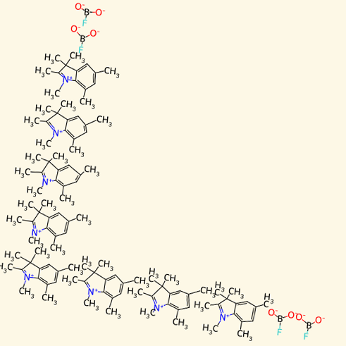 CC1=[N+](C)c2c(C)cc(C)cc2C1(C)C.CC1=[N+](C)c2c(C)cc(C)cc2C1(C)C.CC1=[N+](C)c2c(C)cc(C)cc2C1(C)C.CC1=[N+](C)c2c(C)cc(C)cc2C1(C)C.CC1=[N+](C)c2c(C)cc(C)cc2C1(C)C.CC1=[N+](C)c2c(C)cc(C)cc2C1(C)C.CC1=[N+](C)c2c(C)cc(C)cc2C1(C)C.CC1=[N+](C)c2c(C)cc(C)cc2C1(C)C.[O-]B([O-])F.[O-]B([O-])F.[O-]B([O-])F.[O-]B([O-])F